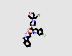 CC(C)CC1(N2CCN(C(=O)C(Cc3ccc(Cl)cc3)NC(=O)CC3NCc4ccccc43)CC2)CCOCC1